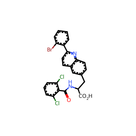 O=C(NC(Cc1ccc2nc(-c3ccccc3Br)ccc2c1)C(=O)O)c1c(Cl)cccc1Cl